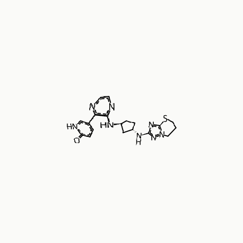 O=c1ccc(-c2nccnc2N[C@H]2CC[C@H](Nc3nc4n(n3)CCCS4)C2)c[nH]1